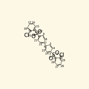 O=S(=O)(c1ccc(-c2ccc(S(=O)(=O)c3ccccc3Cl)cc2)cc1)c1ccccc1Cl